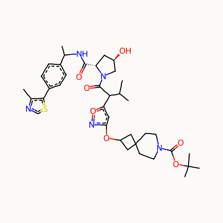 Cc1ncsc1-c1ccc(C(C)NC(=O)[C@@H]2C[C@@H](O)CN2C(=O)C(c2cc(OC3CC4(CCN(C(=O)OC(C)(C)C)CC4)C3)no2)C(C)C)cc1